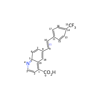 O=C(O)c1ccnc2ccc(/C=C/c3ccc(C(F)(F)F)cc3)cc12